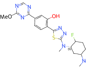 COc1ncnc(-c2ccc(-c3nnc(N(C)[C@H]4CC(N(C)C)CCC4F)s3)c(O)c2)n1